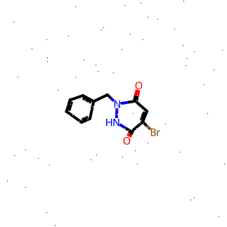 O=c1[nH]n(Cc2ccccc2)c(=O)cc1Br